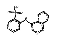 O=S(=O)(O)c1ccccc1Nc1cnnc2ccccc12